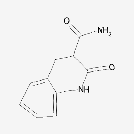 NC(=O)C1Cc2ccccc2NC1=O